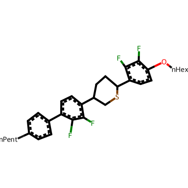 CCCCCCOc1ccc(C2CCC(c3ccc(-c4ccc(CCCCC)cc4)c(F)c3F)CS2)c(F)c1F